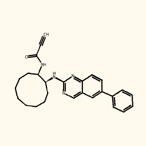 C#CC(=O)NC1CCCCCCCC[C@@H]1Nc1ncc2cc(-c3ccccc3)ccc2n1